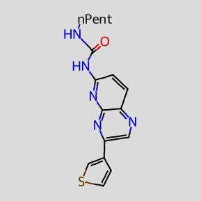 CCCCCNC(=O)Nc1ccc2ncc(-c3ccsc3)nc2n1